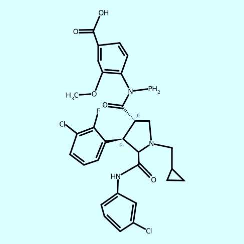 COc1cc(C(=O)O)ccc1N(P)C(=O)[C@@H]1CN(CC2CC2)C(C(=O)Nc2cccc(Cl)c2)[C@H]1c1cccc(Cl)c1F